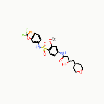 CCOc1cc(NC(=O)CC(O)CC2CCOCC2)ccc1S(=O)(=O)Nc1cccc(OC(F)(F)P)c1